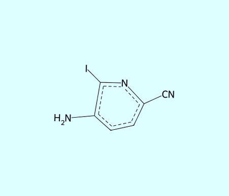 N#Cc1ccc(N)c(I)n1